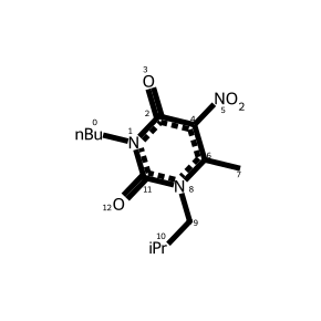 CCCCn1c(=O)c([N+](=O)[O-])c(C)n(CC(C)C)c1=O